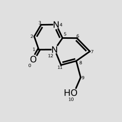 O=c1ccnc2ccc(CO)cn12